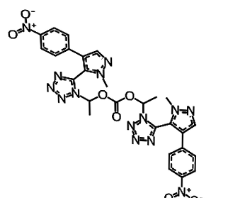 CC(OC(=O)OC(C)n1nnnc1-c1c(-c2ccc([N+](=O)[O-])cc2)cnn1C)n1nnnc1-c1c(-c2ccc([N+](=O)[O-])cc2)cnn1C